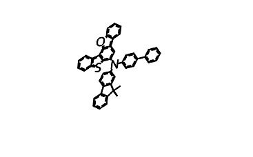 CC1(C)c2ccccc2-c2ccc(N(c3ccc(-c4ccccc4)cc3)c3cc4c5ccccc5oc4c4c3sc3ccccc34)cc21